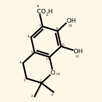 CC1(C)CCc2cc(C(=O)O)c(O)c(O)c2O1